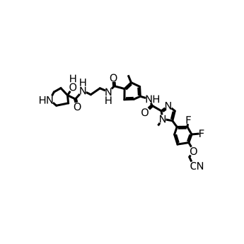 Cc1cc(NC(=O)c2ncc(-c3ccc(OCC#N)c(F)c3F)n2C)ccc1C(=O)NCCNC(=O)C1(O)CCNCC1